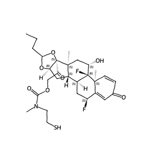 CCCC1O[C@@H]2C[C@H]3[C@@H]4C[C@H](F)C5=CC(=O)C=C[C@]5(C)[C@@]4(F)[C@@H](O)C[C@]3(C)[C@]2(C(=O)COC(=O)N(C)CCS)O1